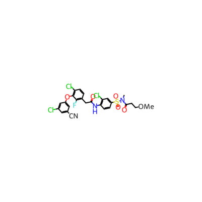 COCCC(=O)N(C)S(=O)(=O)c1ccc(NC(=O)Cc2ccc(Cl)c(Oc3cc(Cl)cc(C#N)c3)c2F)c(Cl)c1